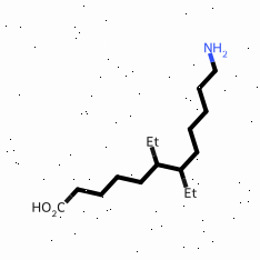 CCC(CCCCCN)C(CC)CCCCC(=O)O